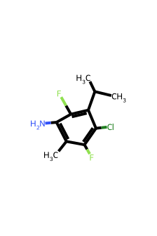 Cc1c(N)c(F)c(C(C)C)c(Cl)c1F